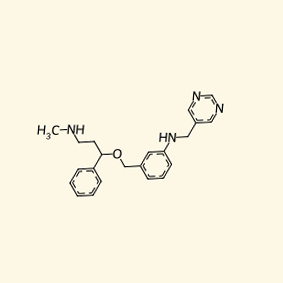 CNCCC(OCc1cccc(NCc2cncnc2)c1)c1ccccc1